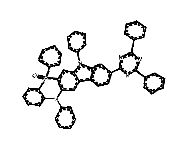 O=P1(c2ccccc2)c2ccccc2N(c2ccccc2)c2cc3c4ccc(-c5nc(-c6ccccc6)nc(-c6ccccc6)n5)cc4n(-c4ccccc4)c3cc21